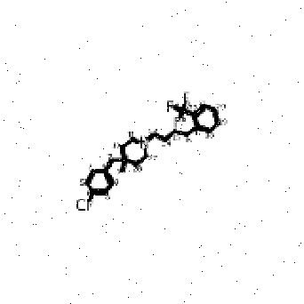 CC1(Cc2ccc(Cl)cc2)CCN(CCCCc2ccccc2C(F)(F)F)CC1